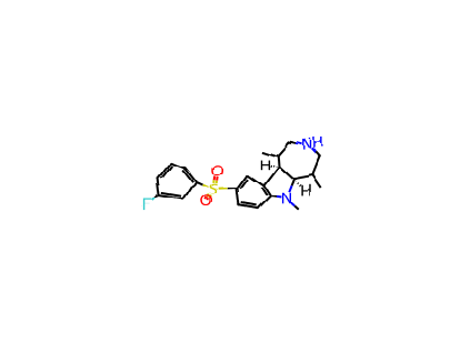 CC1CNCC(C)[C@@H]2c3cc(S(=O)(=O)c4cccc(F)c4)ccc3N(C)[C@H]12